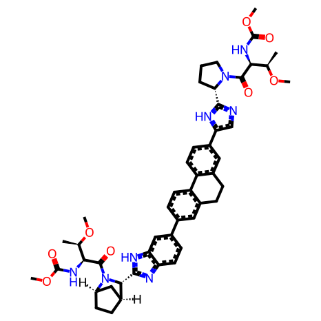 COC(=O)N[C@H](C(=O)N1CCC[C@H]1c1ncc(-c2ccc3c(c2)CCc2cc(-c4ccc5nc([C@@H]6[C@H]7CC[C@H](C7)N6C(=O)[C@@H](NC(=O)OC)[C@@H](C)OC)[nH]c5c4)ccc2-3)[nH]1)[C@@H](C)OC